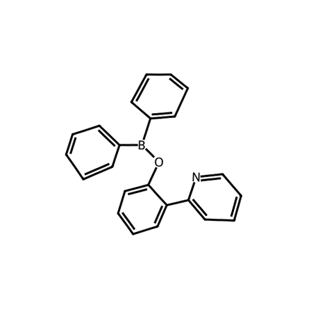 c1ccc(B(Oc2ccccc2-c2ccccn2)c2ccccc2)cc1